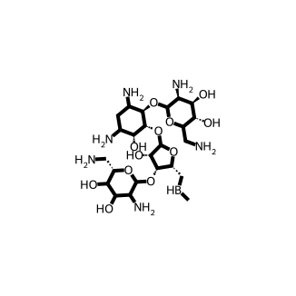 CBC[C@H]1OC(O[C@@H]2[C@H](O)C(N)CC(N)[C@H]2OC2OC(CN)[C@@H](O)[C@H](O)[C@@H]2N)[C@@H](O)[C@H]1OC1O[C@@H](CN)C(O)C(O)C1N